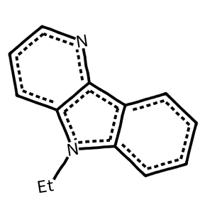 CCn1c2ccccc2c2ncccc21